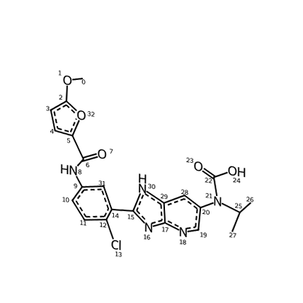 COc1ccc(C(=O)Nc2ccc(Cl)c(-c3nc4ncc(N(C(=O)O)C(C)C)cc4[nH]3)c2)o1